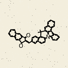 CC1(C)c2c(ccc3cc(C=C4C(=O)c5cc6ccccc6cc5C4=O)ccc23)-n2c3ccccc3c3c4ccccc4cc1c32